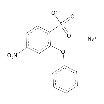 O=[N+]([O-])c1ccc(S(=O)(=O)[O-])c(Oc2ccccc2)c1.[Na+]